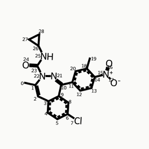 CC1=Cc2ccc(Cl)cc2C(c2ccc([N+](=O)[O-])c(C)c2)=NN1C(=O)NC1CC1